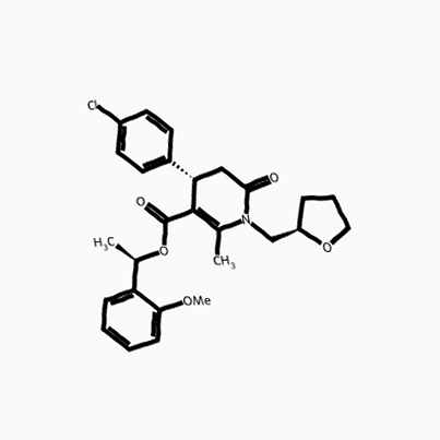 COc1ccccc1[C@@H](C)OC(=O)C1=C(C)N(C[C@H]2CCCO2)C(=O)C[C@H]1c1ccc(Cl)cc1